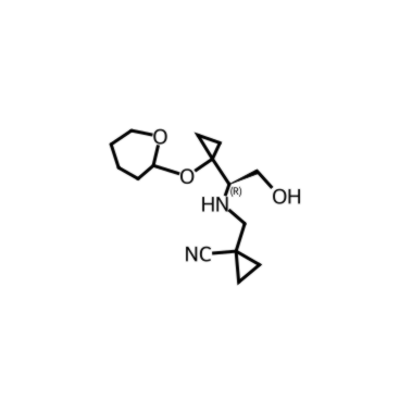 N#CC1(CN[C@H](CO)C2(OC3CCCCO3)CC2)CC1